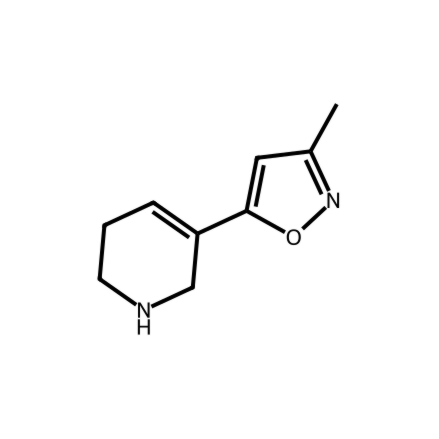 Cc1cc(C2=CCCNC2)on1